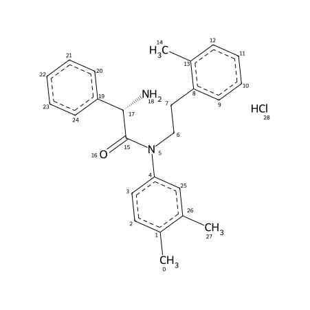 Cc1ccc(N(CCc2ccccc2C)C(=O)[C@@H](N)c2ccccc2)cc1C.Cl